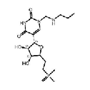 C=P(C)(C)CCC1O[C@@H](c2cn(CNCCC)c(=O)[nH]c2=O)[C@H](O)[C@@H]1O